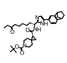 CCC(=O)CCCCC[C@H](NC(=O)[C@H]1CC12CCN(C(=O)OC(C)(C)C)CC2)c1ncc(-c2ccc3c(c2)C2CCC3C2)[nH]1